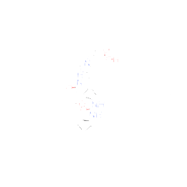 COc1cc(C(CC2CCN(CC(C)CC(=O)O)C2)NC(C)=O)ccc1NC(=O)Nc1ccccc1C